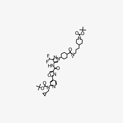 CN(CCCC1CCN(C(=O)OC(C)(C)C)CC1)C(=O)C1CCC(n2cc(NC(=O)c3coc(-c4ccnc(N(CC5CC5)C(=O)OC(C)(C)C)c4)n3)c(C(F)F)n2)CC1